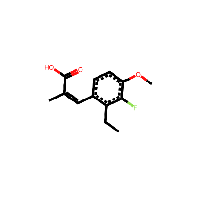 CCc1c(C=C(C)C(=O)O)ccc(OC)c1F